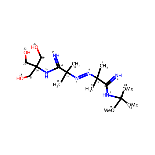 COC(NC(=N)C(C)(C)N=NC(C)(C)C(=N)NC(CO)(CO)CO)(OC)OC